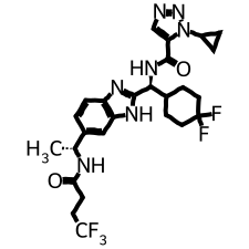 C[C@@H](NC(=O)CCC(F)(F)F)c1ccc2nc([C@@H](NC(=O)c3cnnn3C3CC3)C3CCC(F)(F)CC3)[nH]c2c1